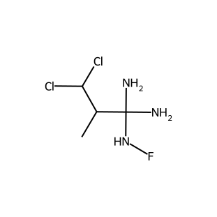 CC(C(Cl)Cl)C(N)(N)NF